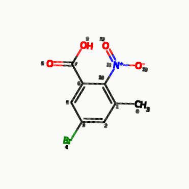 Cc1cc(Br)cc(C(=O)O)c1[N+](=O)[O-]